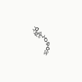 C/C(NC(=O)/N=c1\scc(C)n1-c1cccc(C)c1C(C)C)=C(/C)c1ccc(-c2ncn(-c3ccc(OC(F)(F)F)cc3)n2)cc1